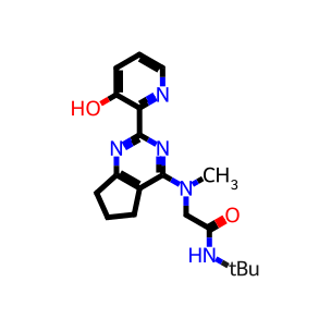 CN(CC(=O)NC(C)(C)C)c1nc(-c2ncccc2O)nc2c1CCC2